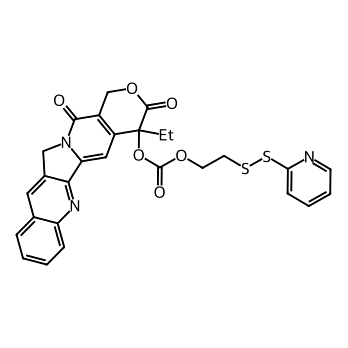 CCC1(OC(=O)OCCSSc2ccccn2)C(=O)OCc2c1cc1n(c2=O)Cc2cc3ccccc3nc2-1